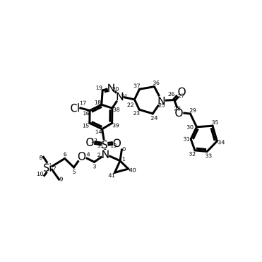 CC1(N(COCC[Si](C)(C)C)S(=O)(=O)c2cc(Cl)c3cnn(C4CCN(C(=O)OCc5ccccc5)CC4)c3c2)CC1